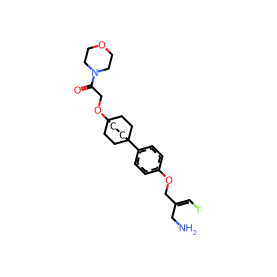 NCC(=CF)COc1ccc(C23CCC(OCC(=O)N4CCOCC4)(CC2)CC3)cc1